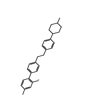 Cc1ccc(-c2ccc(CCc3ccc(C4CCC(C)CC4)cc3)cc2)c(F)c1